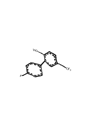 Oc1ccc(C(F)(F)F)cc1-c1ccc(F)cc1